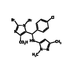 Cc1cc(NC(c2ccc(Cl)cc2)c2c(C(=O)O)nc(Br)n2C(C)C)n(C)n1